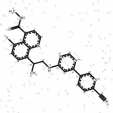 CNC(=O)c1ccnc2c(C(C)CNc3cc(-c4ccc(C#N)nc4)ncn3)ccc(F)c12